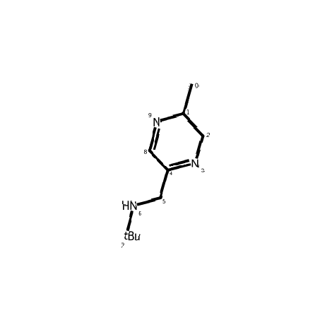 CC1CN=C(CNC(C)(C)C)C=N1